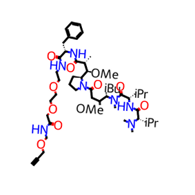 C#CCOCNC(=O)COCCOCCNC(=O)[C@H](Cc1ccccc1)NC(=O)[C@H](C)[C@@H](OC)[C@@H]1CCCN1C(=O)CC(OC)[C@H](C(C)CC)N(C)C(=O)[C@@H](NC(=O)[C@H](C(C)C)N(C)C)C(C)C